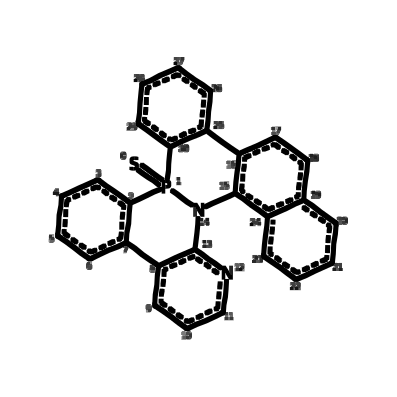 S=P12c3ccccc3-c3cccnc3N1c1c(ccc3ccccc13)-c1ccccc12